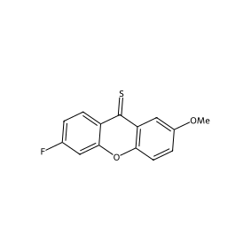 COc1ccc2oc3cc(F)ccc3c(=S)c2c1